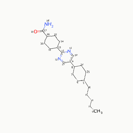 CCCCCC1CCC(c2cnc(C3CCC(C(N)=O)CC3)nc2)CC1